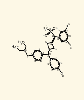 CCN(CC)Cc1ccc([C@H](c2ccc(Cl)cc2)N2CC(=C(c3cc(F)cc(F)c3)S(C)(=O)=O)C2)cc1